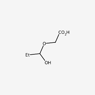 CCC(O)OCC(=O)O